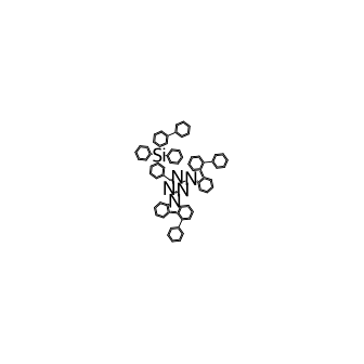 c1ccc(-c2cccc([Si](c3ccccc3)(c3ccccc3)c3cccc(-c4nc(-n5c6ccccc6c6c(-c7ccccc7)cccc65)nc(-n5c6ccccc6c6c(-c7ccccc7)cccc65)n4)c3)c2)cc1